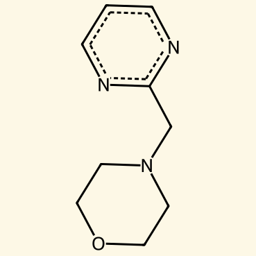 c1cnc(CN2CCOCC2)nc1